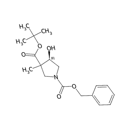 CC(C)(C)OC(=O)C1(C)CN(C(=O)OCc2ccccc2)C[C@@H]1O